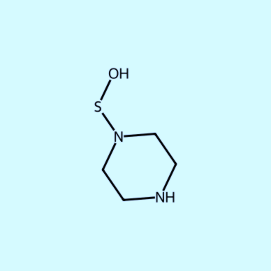 OSN1CCNCC1